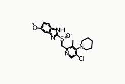 COc1ccc2[nH]c([S+]([O-])Cc3ncc(Cl)c(N4CCCCC4)c3C)nc2c1